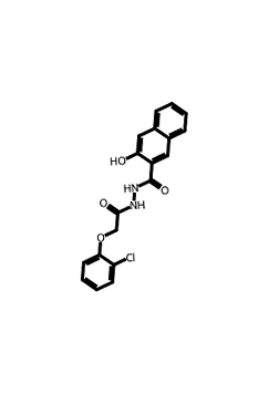 O=C(COc1ccccc1Cl)NNC(=O)c1cc2ccccc2cc1O